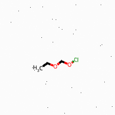 CCOCOCl